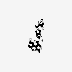 COc1cnc(Cl)cc1-c1cc(C)ncc1C(=O)Nc1nc2c(s1)CN(C(=O)c1nn(C)cc1Cl)C2